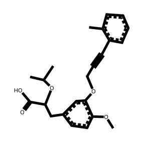 COc1ccc(CC(OC(C)C)C(=O)O)cc1OCC#Cc1ccccc1C